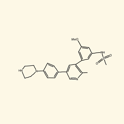 COc1cc(NS(C)(=O)=O)cc(-c2cc(-c3ccc(N4CCNCC4)cc3)cnc2C)c1